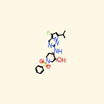 CC(C)c1cc(F)c2cnc(N[C@@H]3CCN(S(=O)(=O)c4ccccc4)C[C@H]3O)nn12